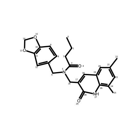 CCCC(=O)N(Cc1ccc2c(c1)OCO2)Cc1cc2cc(C)cc(C)c2[nH]c1=O